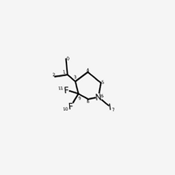 CC(C)C1CCN(I)CC1(F)F